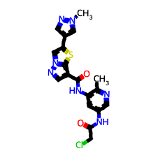 Cc1ncc(NC(=O)CCl)cc1NC(=O)c1cnn2cc(-c3cnn(C)c3)sc12